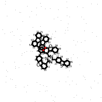 c1cc(-c2ccc3oc4cccc(-c5nc(-c6ccc7c(c6)sc6ccccc67)nc(-c6cccc7oc8ccccc8c67)n5)c4c3c2)cc(-c2cccc3c2C2(c4ccccc4-c4ccccc42)c2ccccc2-3)c1